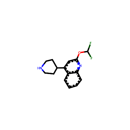 FC(F)Oc1cc(C2CCNCC2)c2ccccc2n1